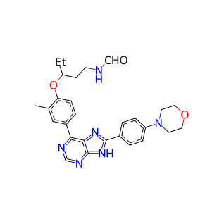 CCC(CCNC=O)Oc1ccc(-c2ncnc3[nH]c(-c4ccc(N5CCOCC5)cc4)nc23)cc1C